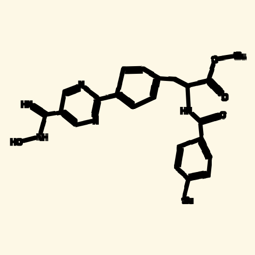 CC(C)(C)OC(=O)C(Cc1ccc(-c2ncc(C(=N)NO)cn2)cc1)NC(=O)c1ccc(C(C)(C)C)cc1